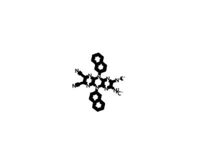 [C-]#[N+]c1nc2c(nc1[N+]#[C-])N(c1ccc3ccccc3c1)c1nc(C#N)c(C#N)nc1N2c1ccc2ccccc2c1